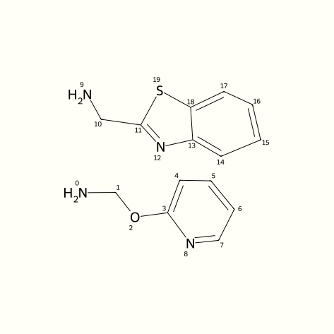 NCOc1ccccn1.NCc1nc2ccccc2s1